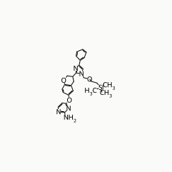 C[Si](C)(C)CCOCn1cc(-c2ccccc2)nc1C1COc2ccc(Oc3ccnc(N)n3)cc2C1